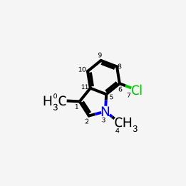 Cc1cn(C)c2c(Cl)cccc12